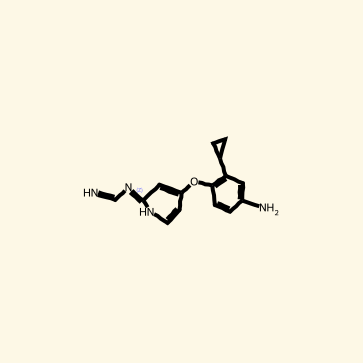 N=C/N=c1/cc(Oc2ccc(N)cc2C2CC2)cc[nH]1